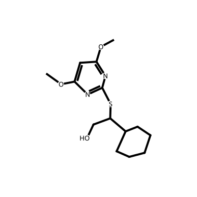 COc1cc(OC)nc(SC(CO)C2CCCCC2)n1